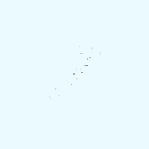 Cc1cc(OCCCc2ccccc2)ccc1C1=CCN(C(=O)O)C(C(C)(C)C)C1